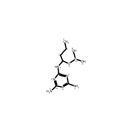 CCCC(Nc1nc(N)nc(N)n1)OP(O)O